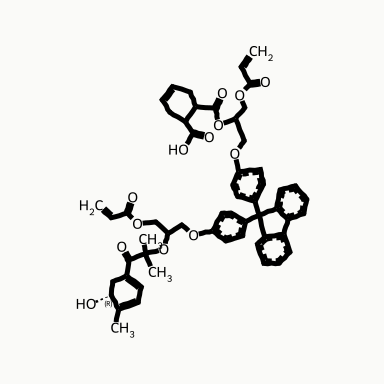 C=CC(=O)OCC(COc1ccc(C2(c3ccc(OCC(COC(=O)C=C)OC(C)(C)C(=O)C4=CC=C(C)[C@H](O)C4)cc3)c3ccccc3-c3ccccc32)cc1)OC(=O)C1CC=CCC1C(=O)O